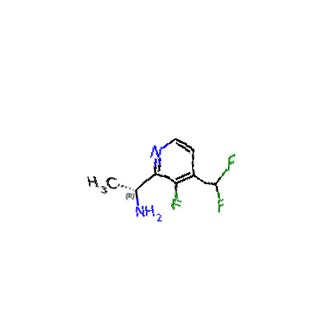 C[C@@H](N)c1nccc(C(F)F)c1F